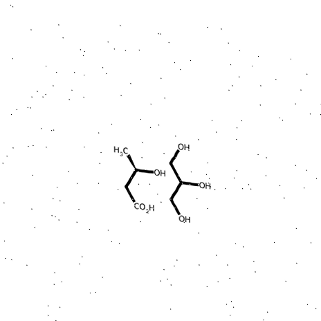 C[C@@H](O)CC(=O)O.OCC(O)CO